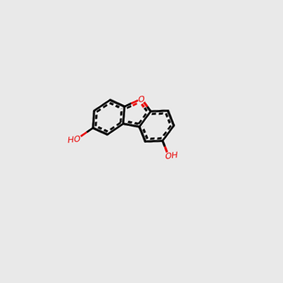 Oc1ccc2oc3ccc(O)cc3c2c1